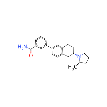 C[C@@H]1CCCN1[C@@H]1CCc2cc(-c3cccc(C(N)=O)c3)ccc2C1